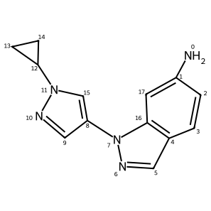 Nc1ccc2cnn(-c3cnn(C4CC4)c3)c2c1